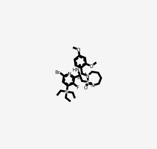 CC[Si](CC)(CC)c1cc(Br)nc([C@](C)(CS2(=O)=NCCCCN2Cc2ccc(OC)cc2OC)NC)c1F